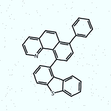 c1ccc(-c2ccc(-c3cccc4sc5ccccc5c34)c3c2ccc2cccnc23)cc1